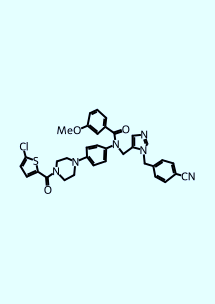 COc1cccc(C(=O)N(Cc2cncn2Cc2ccc(C#N)cc2)c2ccc(N3CCN(C(=O)c4ccc(Cl)s4)CC3)cc2)c1